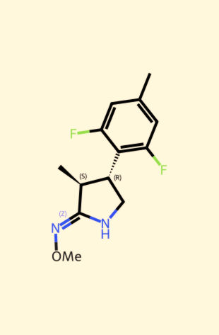 CO/N=C1\NC[C@@H](c2c(F)cc(C)cc2F)[C@@H]1C